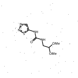 COC(CNC(=O)Nc1cnns1)OC